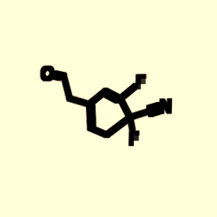 N#CC1(F)CC=C(CC=O)C=C1F